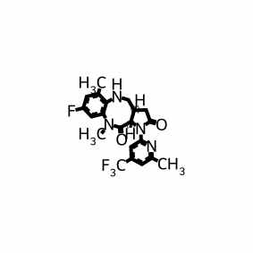 Cc1cc(C(F)(F)F)cc(N2C(=O)C[C@@H]3CNc4c(C)cc(F)cc4N(C)C(=O)[C@H]32)n1